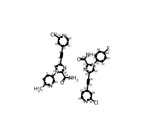 Cc1ccc(-n2cc(C#Cc3ccnc(Cl)c3)nc2C(N)=O)cn1.NC(=O)c1nc(C#Cc2ccnc(Cl)c2)cn1-c1ccc(F)cc1